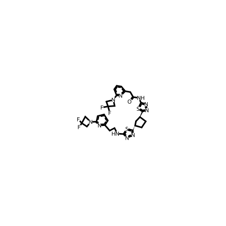 O=C(Cc1cccc(N2CC(F)(F)C2)n1)Nc1nnc([C@H]2CC[C@H](c3nnc(NCCc4cccc(N5CC(F)(F)C5)n4)s3)C2)s1